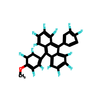 COC1=C(F)C(F)=C(c2c3c(F)c(F)c(F)c(F)c3c(-c3ccc(F)c(F)c3)c3c(F)c(F)c(F)c(F)c23)C(F)C1F